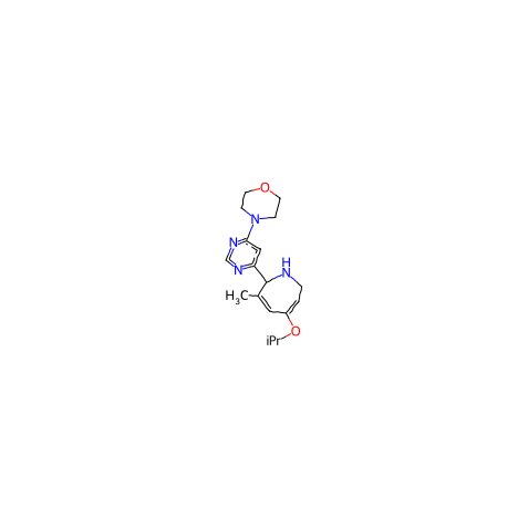 CC1=CC(OC(C)C)=CCNC1c1cc(N2CCOCC2)ncn1